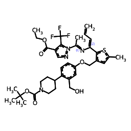 C=C/C=C(\N=C(/C)n1ncc(C(=O)OCC)c1C(F)(F)F)c1sc(C)cc1COc1ccc(C2CCN(C(=O)OC(C)(C)C)CC2)c(CO)c1